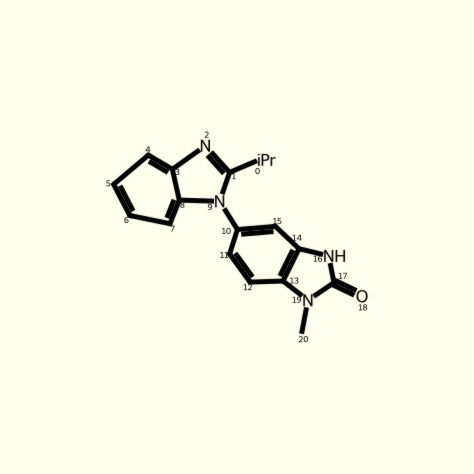 CC(C)c1nc2ccccc2n1-c1ccc2c(c1)[nH]c(=O)n2C